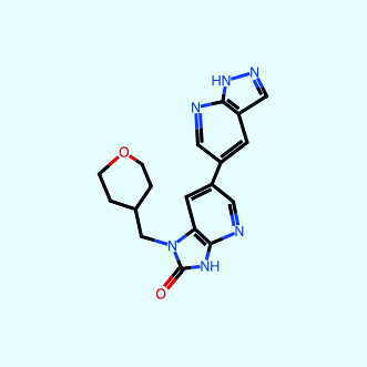 O=c1[nH]c2ncc(-c3cnc4[nH]ncc4c3)cc2n1CC1CCOCC1